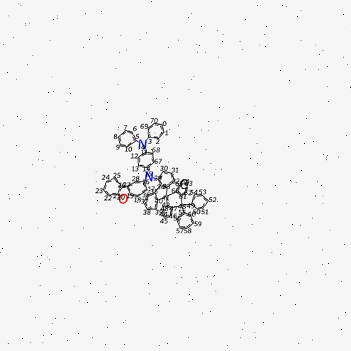 c1ccc(N(c2ccccc2)c2ccc(N(c3ccc4oc5ccccc5c4c3)c3cccc4c3-c3ccccc3C43c4ccccc4C(c4ccccc4)(c4ccccc4)c4ccccc43)cc2)cc1